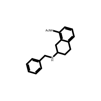 CC(=O)Nc1cccc2c1CC(NCc1ccccc1)CC2